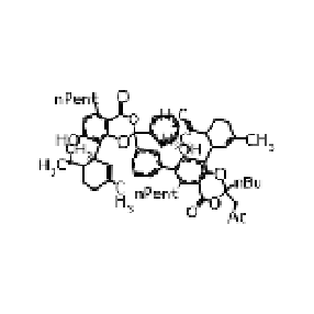 C=C(C)C1CCC(C)=CC1c1c(O)cc(CCCCC)c2c1OC(c1ccccc1)(c1cccc(-c3c(O)c(C4C=C(C)CCC4C(=C)C)c4c(c3CCCCC)C(=O)OC(CCCC)(CC(C)=O)O4)c1)OC2=O